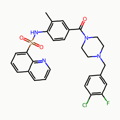 Cc1cc(C(=O)N2CCN(Cc3ccc(Cl)c(F)c3)CC2)ccc1NS(=O)(=O)c1cccc2cccnc12